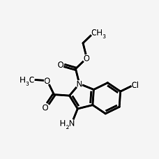 CCOC(=O)n1c(C(=O)OC)c(N)c2ccc(Cl)cc21